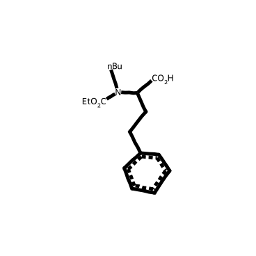 CCCCN(C(=O)OCC)C(CCc1ccccc1)C(=O)O